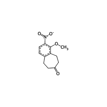 COc1c([N+](=O)[O-])ccc2c1CCC(=O)CC2